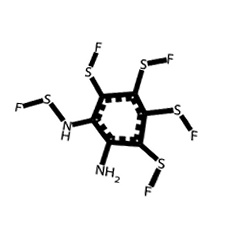 Nc1c(NSF)c(SF)c(SF)c(SF)c1SF